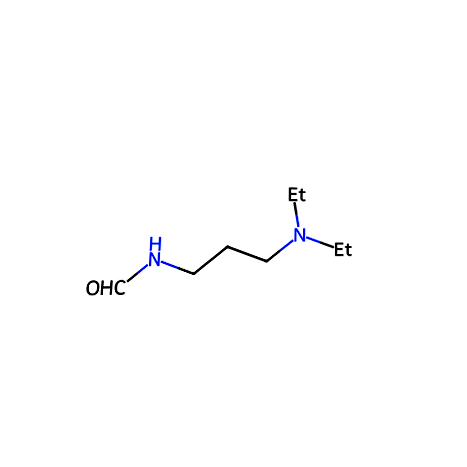 CCN(CC)CCCNC=O